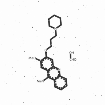 CNc1c2ccccc2nc2cc(OCCCN3CCCCC3)c(OC)cc12.O=CO